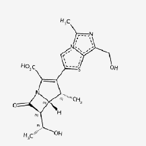 Cc1nc(CO)c2sc(C3=C(C(=O)O)N4C(=O)[C@H]([C@@H](C)O)[C@H]4[C@H]3C)cn12